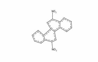 O=[N+]([O-])c1cc2c3ccccc3c([N+](=O)[O-])cc2c2ccccc12